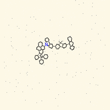 CC1(C)c2cc(-c3ccc4c(c3)c3ccccc3n4-c3cc4cc5c(c6ccc7cccc3c7c46)-c3ccccc3[Si]5(c3ccccc3)c3ccccc3)ccc2-c2ccc(-c3c4ccccc4cc4ccccc34)cc21